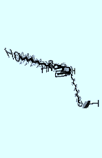 O=C(/C=C/CCCCCCCCO)N[C@@H]1CC[C@H](NC(=O)/C=C/CCCCCCCCO)C1